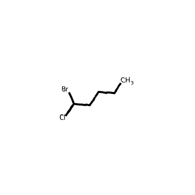 CCCCC(Cl)Br